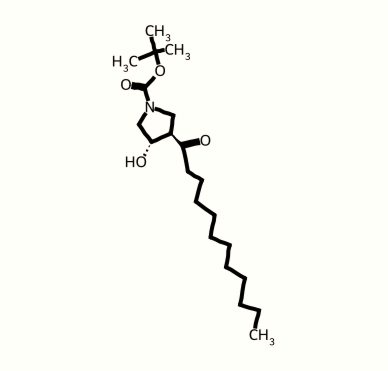 CCCCCCCCCCCC(=O)[C@@H]1CN(C(=O)OC(C)(C)C)C[C@H]1O